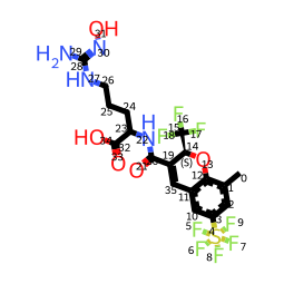 Cc1cc(S(F)(F)(F)(F)F)cc2c1O[C@H](C(F)(F)F)C(C(=O)NC(CCCNC(N)=NO)C(=O)O)=C2